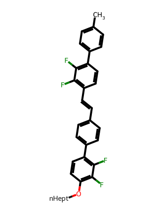 CCCCCCCOc1ccc(-c2ccc(/C=C/c3ccc(-c4ccc(C)cc4)c(F)c3F)cc2)c(F)c1F